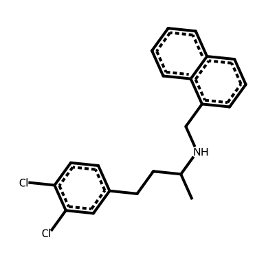 CC(CCc1ccc(Cl)c(Cl)c1)NCc1cccc2ccccc12